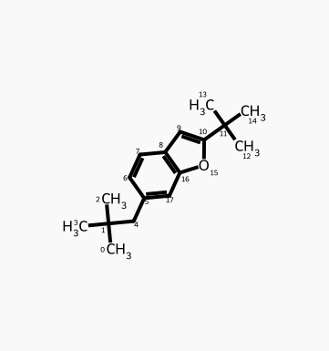 CC(C)(C)Cc1ccc2cc(C(C)(C)C)oc2c1